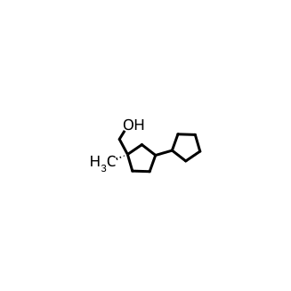 C[C@@]1(CO)CCC(C2CCCC2)C1